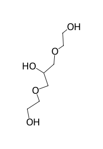 OCCOCC(O)COCCO